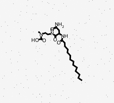 CCCCCCCCCCCCCC(=O)NC(CC(N)=O)C(=O)NCCN(C)C(=O)O